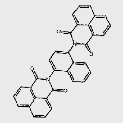 O=C1c2cccc3cccc(c23)C(=O)N1c1ccc(N2C(=O)c3cccc4cccc(c34)C2=O)c2ccccc12